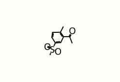 CC(=O)c1cc(S(C)(=O)=O)ccc1C